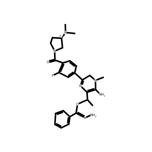 CC(O/C(=N\N)c1ccccc1)C1=C(N)N(C)CC(c2ccc(C(=O)N3CC[C@@H](N(C)C)C3)c(F)c2)=N1